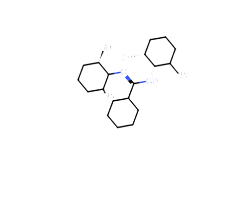 CC(C)C1CCC[C@@H](C(C)C)C1/N=C(/N[C@H]1C(C(C)C)CCC[C@H]1C(C)C)C1CCCCC1